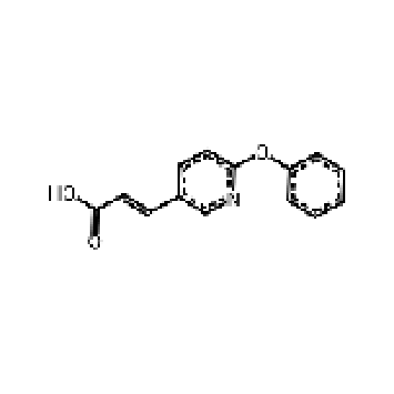 O=C(O)C=Cc1ccc(Oc2ccccc2)nc1